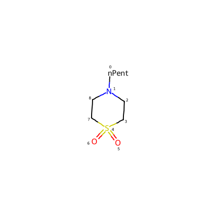 [CH2]CCCCN1CCS(=O)(=O)CC1